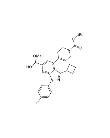 COC(O)c1cc(C2=CCN(C(=O)OC(C)(C)C)CC2)c2c(C3CCC3)nn(-c3ccc(F)cc3)c2n1